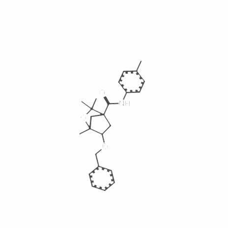 Cc1ccc(NC(=O)C23CC(OCc4ccccc4)C(C)(C2)OC3(C)C)cc1